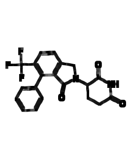 O=C1CCC(N2Cc3ccc(C(F)(F)F)c(-c4ccccc4)c3C2=O)C(=O)N1